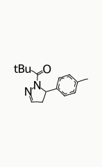 Cc1ccc(C2CC=NN2C(=O)C(C)(C)C)cc1